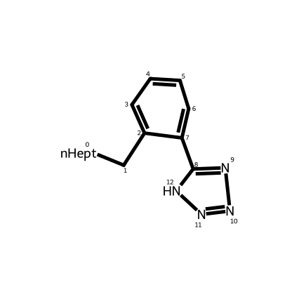 CCCCCCCCc1ccccc1-c1nnn[nH]1